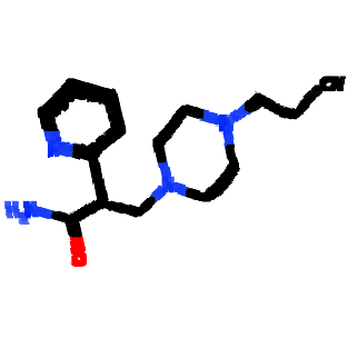 N#CCCN1CCN(CC(C(N)=O)c2ccccn2)CC1